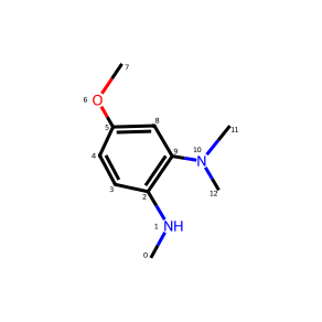 CNc1ccc(OC)cc1N(C)C